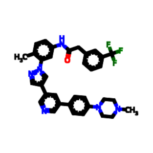 Cc1ccc(NC(=O)Cc2cccc(C(F)(F)F)c2)cc1-n1cc(-c2cncc(-c3ccc(N4CCN(C)CC4)cc3)c2)cn1